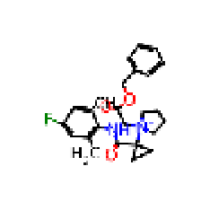 Cc1cc(F)cc(C)c1NC(=O)C1([N+]2(CC(=O)OCc3ccccc3)CCCC2)CC1